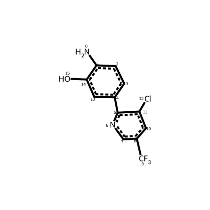 Nc1ccc(-c2ncc(C(F)(F)F)cc2Cl)cc1O